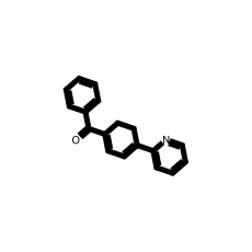 O=C(C1=CC=C(c2ccccn2)CC1)c1ccccc1